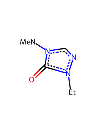 CCn1ncn(NC)c1=O